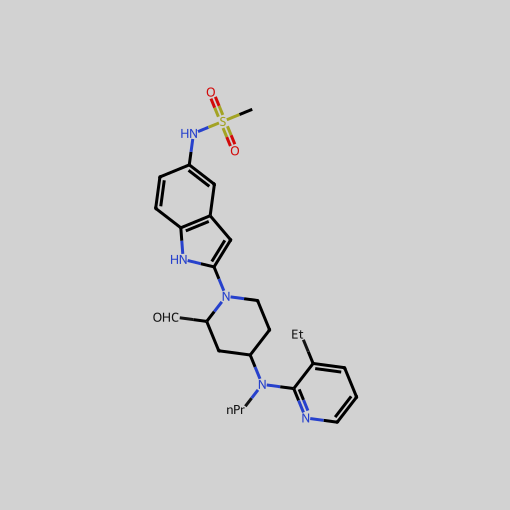 CCCN(c1ncccc1CC)C1CCN(c2cc3cc(NS(C)(=O)=O)ccc3[nH]2)C(C=O)C1